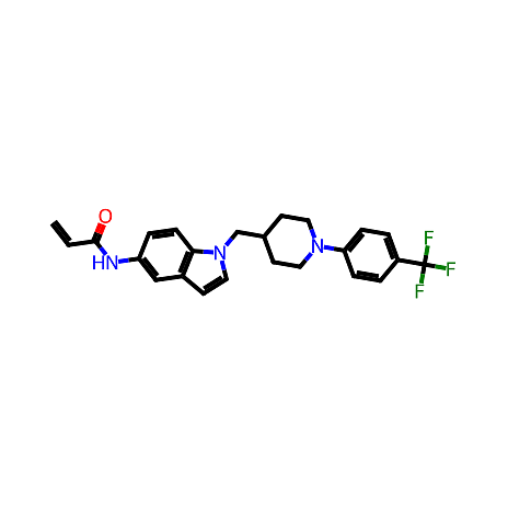 C=CC(=O)Nc1ccc2c(ccn2CC2CCN(c3ccc(C(F)(F)F)cc3)CC2)c1